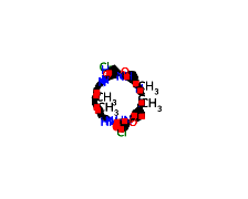 Cc1cc2ccc1Cc1ccc(cc1C)/C=N/NC(=O)c1cc(Cl)ccc1NC(=O)c1cccc(c1)CN(C)CCCN(C)Cc1cccc(c1)C(=O)Nc1ccc(Cl)cc1C(=O)N/N=C/2